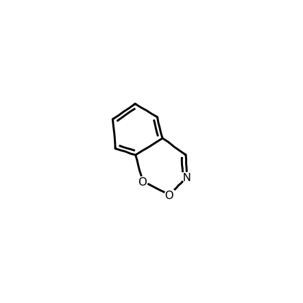 C1=NOOc2ccccc21